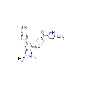 C=C/C=c1/cc(-c2ccc(CC#N)cc2)cc(NC2CCN(C(=O)c3ccc(C)nc3)CC2)/c1=C/N